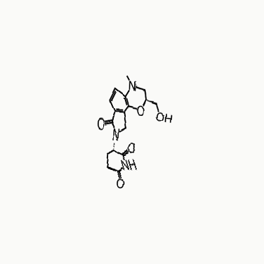 CN1C[C@@H](CO)Oc2c1ccc1c2CN([C@H]2CCC(=O)NC2=O)C1=O